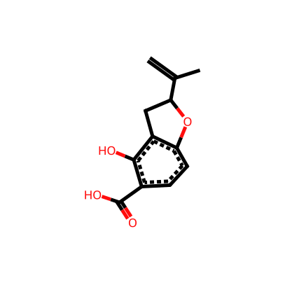 C=C(C)C1Cc2c(ccc(C(=O)O)c2O)O1